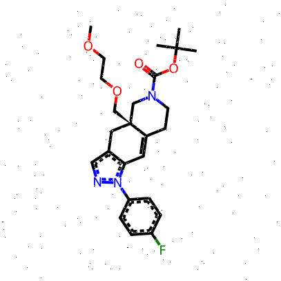 COCCOC[C@]12Cc3cnn(-c4ccc(F)cc4)c3C=C1CCN(C(=O)OC(C)(C)C)C2